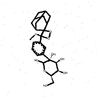 COC1(c2cccc([C@]3(O)C(O)O[C@H](CO)[C@H](O)[C@@H]3O)c2)OOC12C1CC3CC(C1)CC2C3